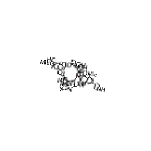 CC[C@H]1OC(=O)[C@H](C)[C@@H](OC2C[C@@](C)(OC)[C@@H](O)[C@H](C)O2)[C@H](C)[C@@H](O[C@@H]2O[C@H](C)C[C@H](N(C)CCc3cn([C@H](CF)[C@H](OC)c4ccc(C5=CCNCC5)cc4)nn3)[C@H]2O)[C@](C)(O)C[C@@H](C)CN(C)[C@H](C)[C@@H](O)[C@]1(C)O